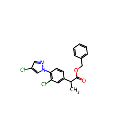 CC(C(=O)OCc1ccccc1)c1ccc(-n2cc(Cl)cn2)c(Cl)c1